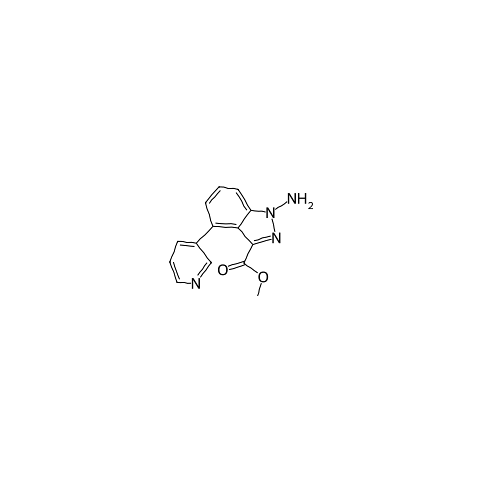 COC(=O)c1nn(N)c2cccc(-c3cccnc3)c12